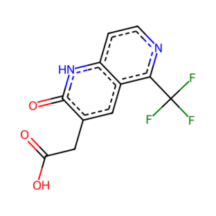 O=C(O)Cc1cc2c(C(F)(F)F)nccc2[nH]c1=O